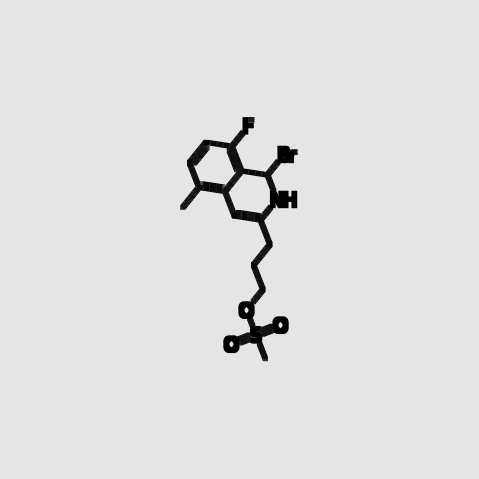 Cc1ccc(F)c2c1C=C(CCCOS(C)(=O)=O)NC2Br